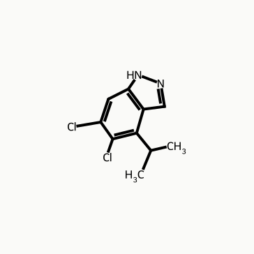 CC(C)c1c(Cl)c(Cl)cc2[nH]ncc12